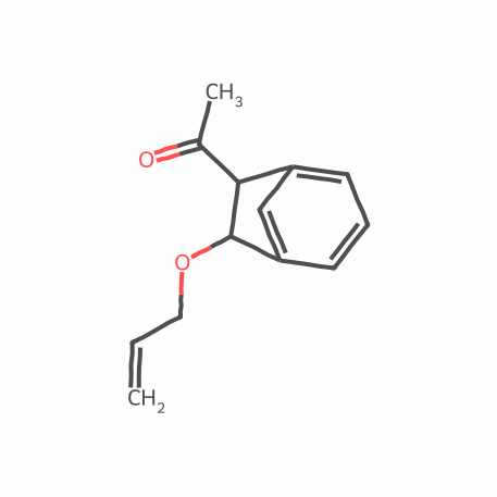 C=CCOC1c2cccc(c2)C1C(C)=O